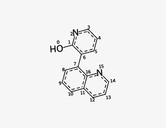 Oc1ncccc1-c1cccc2cccnc12